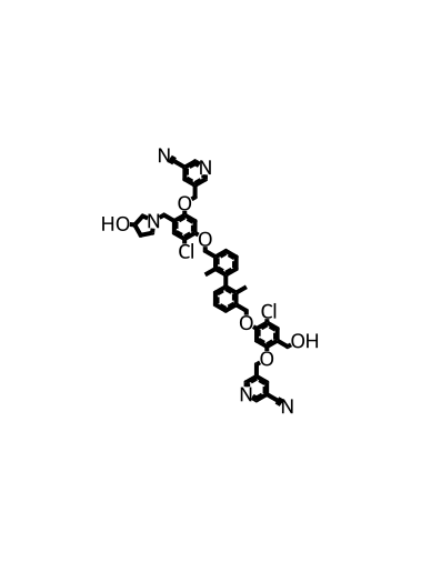 Cc1c(COc2cc(OCc3cncc(C#N)c3)c(CO)cc2Cl)cccc1-c1cccc(COc2cc(OCc3cncc(C#N)c3)c(CN3CCC(O)C3)cc2Cl)c1C